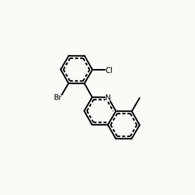 Cc1cccc2ccc(-c3c(Cl)cccc3Br)nc12